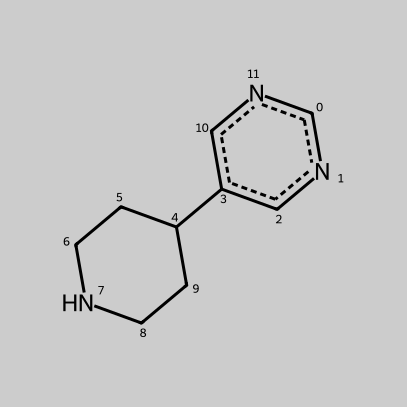 c1ncc(C2CCNCC2)cn1